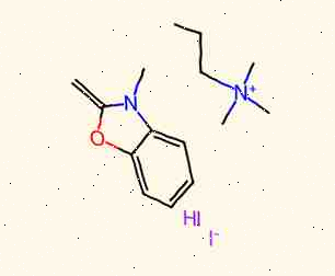 C=C1Oc2ccccc2N1C.CCC[N+](C)(C)C.I.[I-]